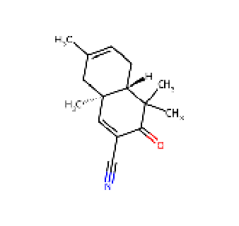 CC1=CC[C@@H]2C(C)(C)C(=O)C(C#N)=C[C@@]2(C)C1